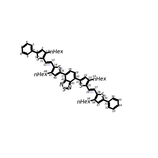 CCCCCCc1cc(-c2ccccc2)sc1/C=C/c1sc(-c2ccc(-c3cc(CCCCCC)c(/C=C/c4sc(-c5ccccc5)cc4CCCCCC)s3)c3nsnc23)cc1CCCCCC